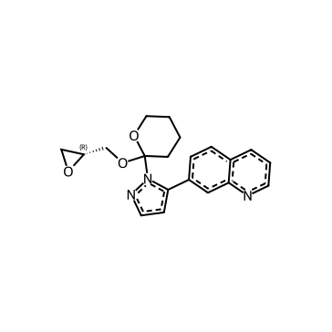 c1cnc2cc(-c3ccnn3C3(OC[C@H]4CO4)CCCCO3)ccc2c1